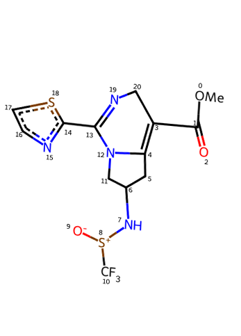 COC(=O)C1=C2CC(N[S+]([O-])C(F)(F)F)CN2C(c2nccs2)=NC1